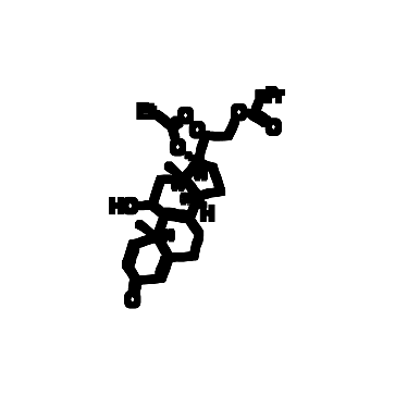 CCCC(=O)OCC(=O)[C@@]1(OC(=O)CC)CC[C@H]2C3=C(C(O)C[C@@]21C)[C@@]1(C)C=CC(=O)C=C1CC3